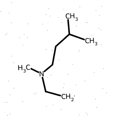 [CH2]CN(C)CCC(C)C